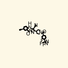 C#Cc1ccc2[nH]c3c(C#N)c(C4CCN(C(=O)c5ccc(C6(C(F)(F)F)N=N6)cc5)CC4)nn3c(=O)c2c1